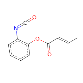 CC=CC(=O)Oc1ccccc1N=C=O